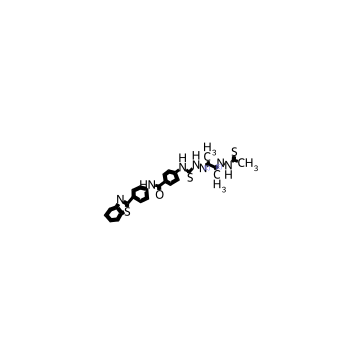 CC(=S)N/N=C(C)/C(C)=N/NC(=S)Nc1ccc(C(=O)Nc2ccc(-c3nc4ccccc4s3)cc2)cc1